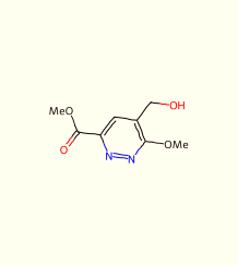 COC(=O)c1cc(CO)c(OC)nn1